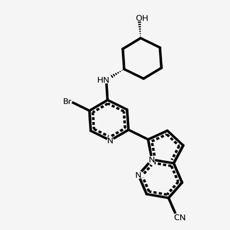 N#Cc1cnn2c(-c3cc(N[C@H]4CCC[C@@H](O)C4)c(Br)cn3)ccc2c1